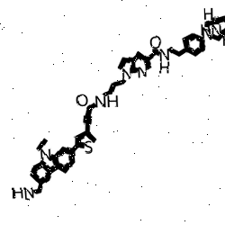 CCn1c2ccc(CNC)cc2c2ccc(-c3cc(C#CC(=O)NCCCCn4ccc5cc(C(=O)NCCc6ccc(N7C[C@H]8CC[C@@H](C7)N8)cc6)cnc54)cs3)cc21